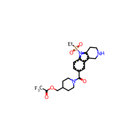 CCS(=O)(=O)n1c2c(c3cc(C(=O)N4CCC(COC(=O)C(F)(F)F)CC4)ccc31)CNCC2